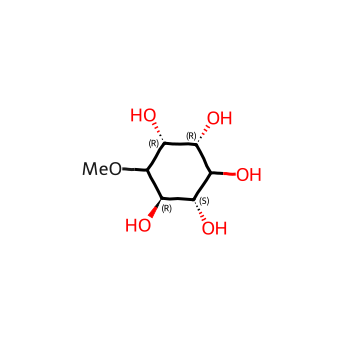 COC1[C@H](O)[C@H](O)C(O)[C@H](O)[C@H]1O